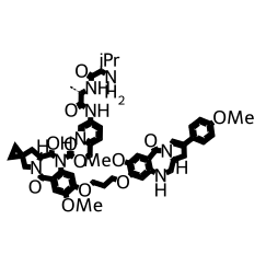 COc1ccc(C2=CN3C(=O)c4cc(OC)c(OCCCOc5cc6c(cc5OC)C(=O)N5CC7(CC7)C[C@H]5C(O)N6C(=O)OCc5ccc(NC(=O)[C@H](C)NC(=O)[C@@H](N)C(C)C)cn5)cc4NC[C@@H]3C2)cc1